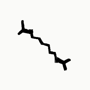 CC(C)=NCCCCCCN=C(C)C